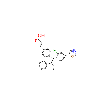 CCC(=C(c1ccc(C=CC(=O)O)cc1)c1ccc(-c2cncs2)cc1F)c1ccccc1